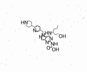 CCCC(CCO)Nc1nc(NC(=O)O)nc2cnn(Cc3ccc(C4CCNCC4)nc3)c12